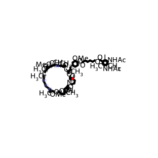 CO[C@H]1C[C@@H]2CC[C@@H](C)[C@@](O)(O2)C(=O)C(=O)N2CCCC[C@H]2C(=O)O[C@H]([C@H](C)C[C@@H]2CC[C@@H](OC(=O)CCCCCOC(=O)c3c(C)c(NC(C)=O)c(C)c(NC(C)=O)c3I)[C@H](OC)C2)CC(=O)[C@H](C)/C=C(\C)[C@@H](O)[C@@H](OC)C(=O)[C@H](C)C[C@H](C)/C=C/C=C/C=C/1C